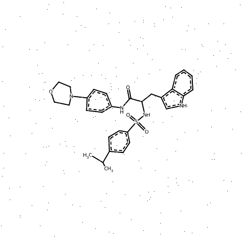 CC(C)c1ccc(S(=O)(=O)NC(Cc2c[nH]c3ccccc23)C(=O)Nc2ccc(N3CCOCC3)cc2)cc1